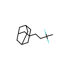 CC(F)(F)CCC12CC3CC(CC(C3)C1)C2